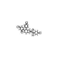 O=C(Nc1ccc(Cl)cc1)N1CC2CCC(c3ccc(Cl)cc3Cl)C(c3ccc(Cl)cc3)C2C1